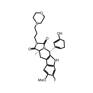 COc1cc2c3c([nH]c2cc1F)[C@@H](C1=CCCC(O)=C1)N1C(=O)N(CCCN2CCOCC2)C(=O)[C@]1(C)C3